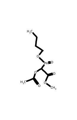 CCCCO[PH](=O)C(OC(C)=O)C(=O)OC